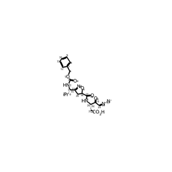 CC(C)[C@H](NC(=O)OCc1ccccc1)C1=NOC(C(=O)N[C@@H](CC(=O)O)C(=O)C=[N+]=[N-])C1